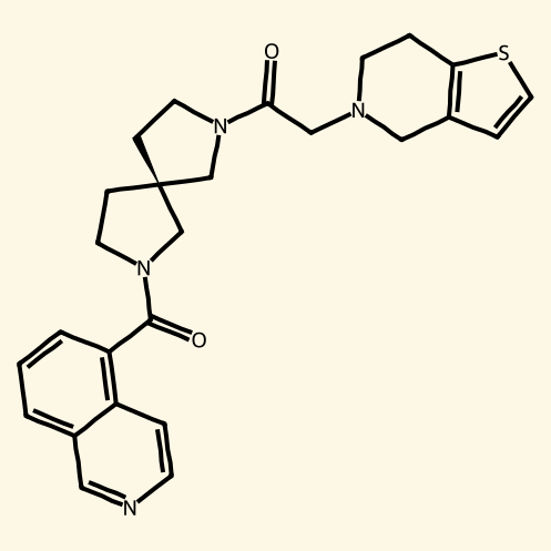 O=C(CN1CCc2sccc2C1)N1CC[C@@]2(CCN(C(=O)c3cccc4cnccc34)C2)C1